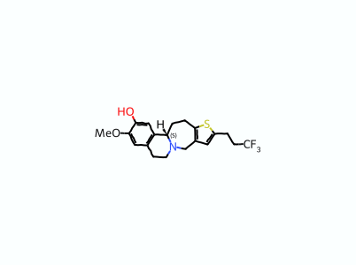 COc1cc2c(cc1O)[C@@H]1CCc3sc(CCC(F)(F)F)cc3CN1CC2